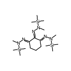 CN(N=C1CCCC(=NN(C)[Si](C)(C)C)C1=NN(C)[Si](C)(C)C)[Si](C)(C)C